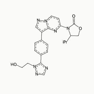 CC(C)C1COC(=O)N1c1ccn2ncc(-c3ccc(-c4ncnn4CCO)cc3)c2n1